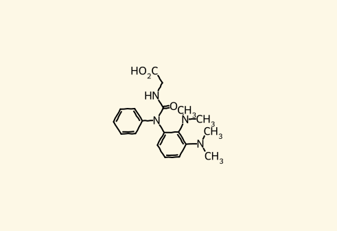 CN(C)c1cccc(N(C(=O)NCC(=O)O)c2ccccc2)c1N(C)C